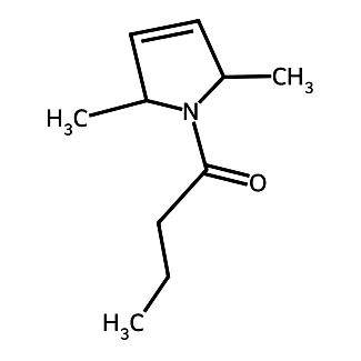 CCCC(=O)N1C(C)C=CC1C